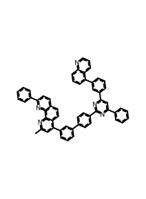 Cc1cc(-c2cccc(-c3ccc(-c4nc(-c5ccccc5)cc(-c5cccc(-c6cccc7ncccc67)c5)n4)cc3)c2)c2ccc3ccc(-c4ccccc4)nc3c2n1